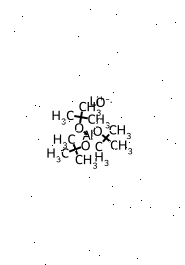 CC(C)(C)[O][Al]([O]C(C)(C)C)[O]C(C)(C)C.[Li+].[O-]